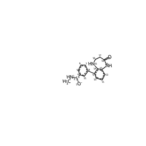 CN[S+]([O-])c1cccc(-c2cccc3c2NCCC(=O)N3)c1